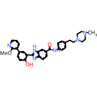 COc1ncccc1-c1ccc(O)c(-c2nc3ccc(C(=O)Nc4ccc(CCN5CCN(C)CC5)cc4)cc3[nH]2)c1